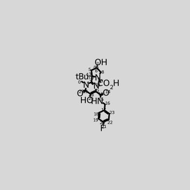 Cn1c([C@@]2(C(C)(C)C)C[C@@H](O)CN2C(=O)O)nc(C(=O)NCc2ccc(F)cc2)c(O)c1=O